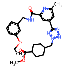 CCOc1cccc(CNC(=O)c2cc(-c3nnn(CC4CCC(C(=O)OC)CC4)n3)cc(C)n2)c1